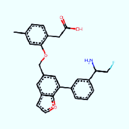 Cc1ccc(CC(=O)O)c(OCc2cc(-c3cccc(C(N)CF)c3)c3occc3c2)c1